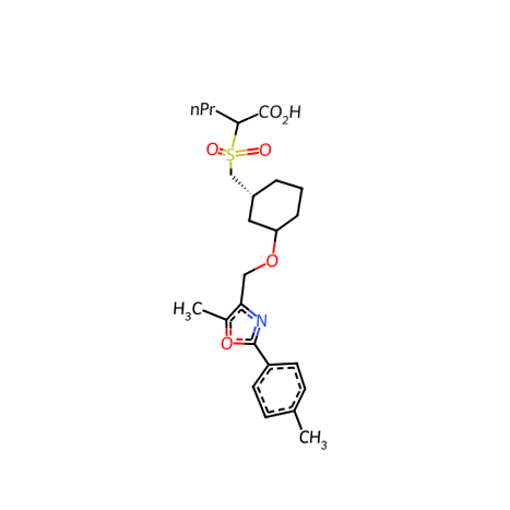 CCCC(C(=O)O)S(=O)(=O)C[C@@H]1CCCC(OCc2nc(-c3ccc(C)cc3)oc2C)C1